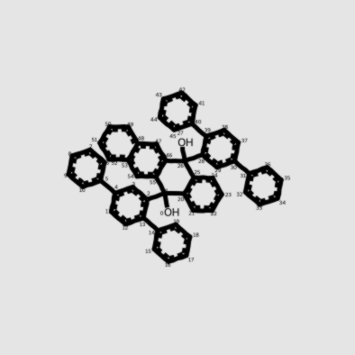 OC1(c2cc(-c3ccccc3)ccc2-c2ccccc2)c2ccccc2C(O)(c2cc(-c3ccccc3)ccc2-c2ccccc2)c2cc3ccccc3cc21